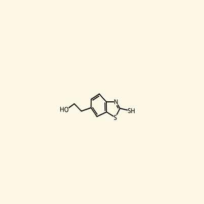 OCCc1ccc2nc(S)sc2c1